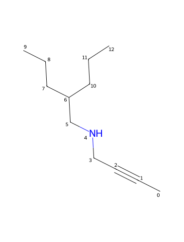 CC#CCNCC(CCC)CCC